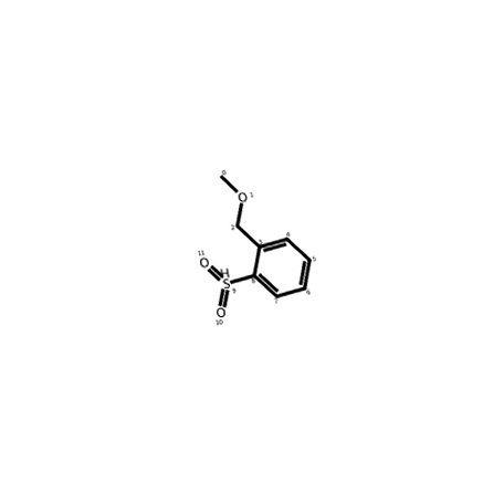 COCc1ccccc1[SH](=O)=O